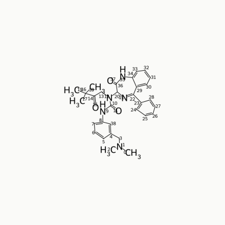 CN(C)Cc1cccc(NC(=O)N(CC(=O)C(C)(C)C)C2N=C(c3ccccc3)c3ccccc3NC2=O)c1